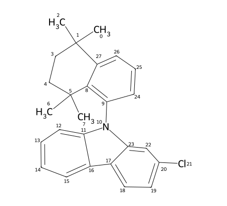 CC1(C)CCC(C)(C)c2c(-n3c4ccccc4c4ccc(Cl)cc43)cccc21